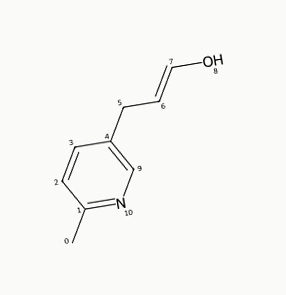 Cc1ccc(CC=CO)cn1